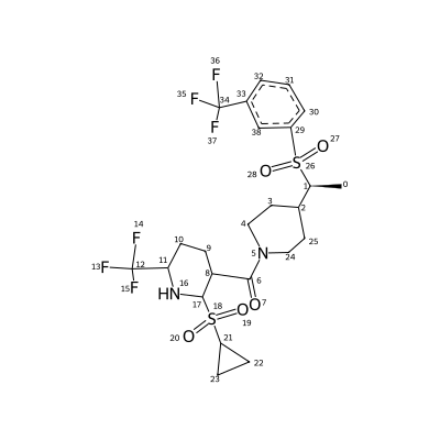 C[C@@H](C1CCN(C(=O)C2CCC(C(F)(F)F)NC2S(=O)(=O)C2CC2)CC1)S(=O)(=O)c1cccc(C(F)(F)F)c1